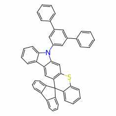 c1ccc(-c2cc(-c3ccccc3)cc(-n3c4ccccc4c4cc5c(cc43)Sc3ccccc3C53c4ccccc4-c4ccccc43)c2)cc1